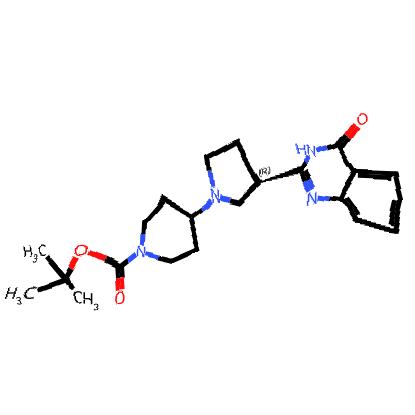 CC(C)(C)OC(=O)N1CCC(N2CC[C@@H](c3nc4ccccc4c(=O)[nH]3)C2)CC1